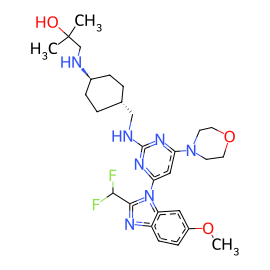 COc1ccc2nc(C(F)F)n(-c3cc(N4CCOCC4)nc(NC[C@H]4CC[C@H](NCC(C)(C)O)CC4)n3)c2c1